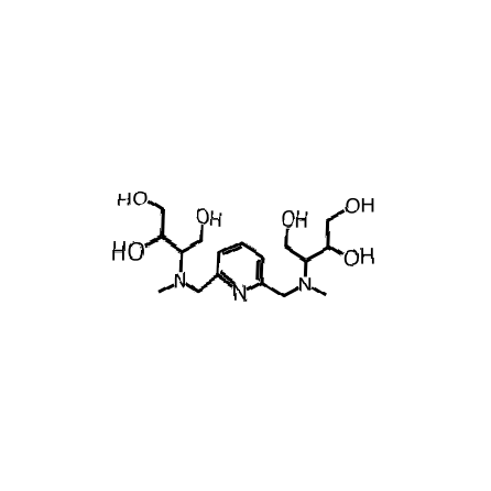 CN(Cc1cccc(CN(C)C(CO)C(O)CO)n1)C(CO)C(O)CO